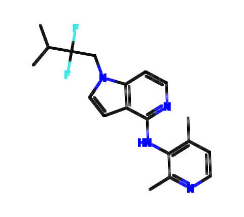 Cc1ccnc(C)c1Nc1nccc2c1ccn2CC(F)(F)C(C)C